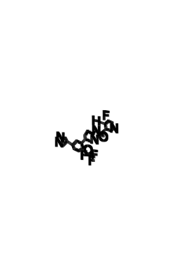 Cc1c(F)cncc1C(=O)Nc1ccc(-c2cc(-c3cnn(C)c3)ccc2OC(F)(F)F)cn1